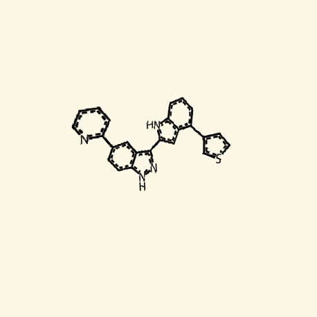 c1ccc(-c2ccc3[nH]nc(-c4cc5c(-c6ccsc6)cccc5[nH]4)c3c2)nc1